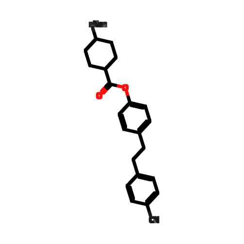 CCCCCCCCCC1CCC(C(=O)Oc2ccc(CCc3ccc(C#N)cc3)cc2)CC1